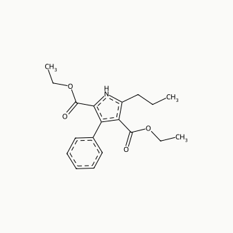 CCCc1[nH]c(C(=O)OCC)c(-c2ccccc2)c1C(=O)OCC